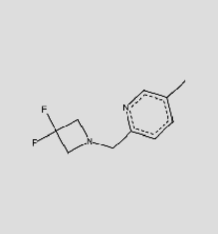 Cc1ccc(CN2CC(F)(F)C2)nc1